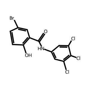 O=C(Nc1cc(Cl)c(Cl)c(Cl)c1)c1cc(Br)ccc1O